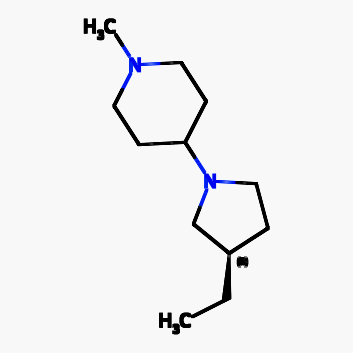 CC[C@@H]1CCN(C2CCN(C)CC2)C1